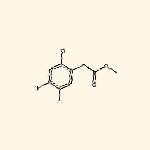 COC(=O)Cc1cc(Cl)c(Cl)cc1Cl